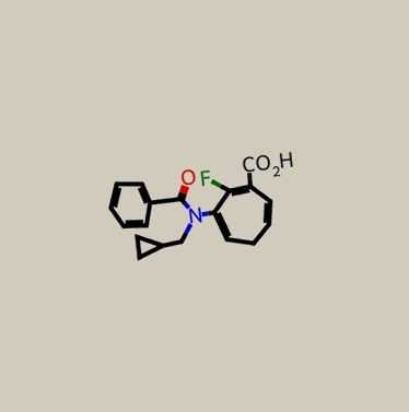 O=C(O)C1=C(F)C(N(CC2CC2)C(=O)c2ccccc2)=CCC=C1